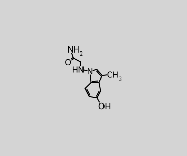 Cc1cn(NCC(N)=O)c2ccc(O)cc12